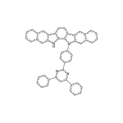 c1ccc(-c2cc(-c3ccccc3)nc(-c3ccc(-n4c5cc6ccccc6cc5c5ccc6c7cc8ccccc8cc7[nH]c6c54)cc3)n2)cc1